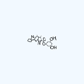 CC1=c2c(cc3c(c2C)N=c2ccccc2=3)N=C1C(=O)OC1CC(O)CC(O)C1